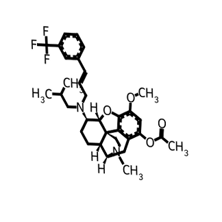 COc1cc(OC(C)=O)c2c3c1O[C@H]1[C@H](N(CC=Cc4cccc(C(F)(F)F)c4)CC(C)C)CC[C@H]4[C@@H](C2)N(C)CC[C@@]341